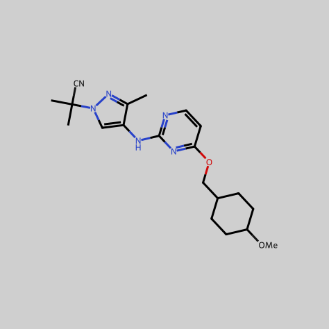 COC1CCC(COc2ccnc(Nc3cn(C(C)(C)C#N)nc3C)n2)CC1